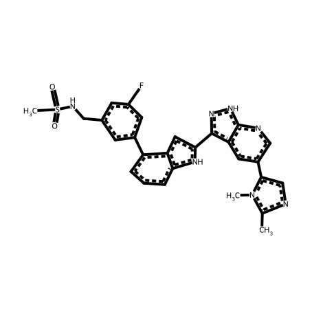 Cc1ncc(-c2cnc3[nH]nc(-c4cc5c(-c6cc(F)cc(CNS(C)(=O)=O)c6)cccc5[nH]4)c3c2)n1C